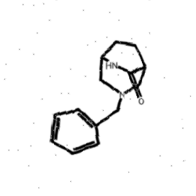 O=C1NC2CCC1CN(Cc1ccccc1)C2